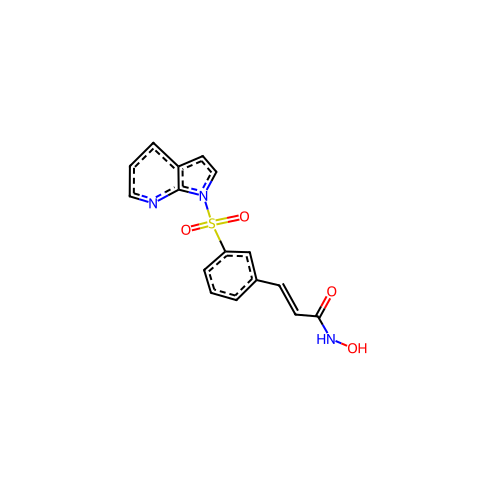 O=C(C=Cc1cccc(S(=O)(=O)n2ccc3cccnc32)c1)NO